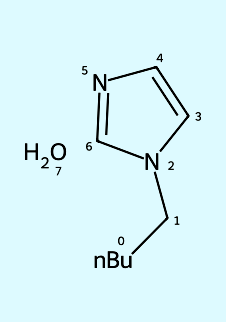 CCCCCn1ccnc1.O